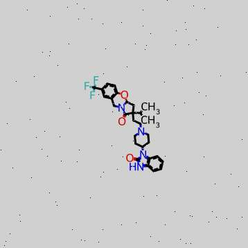 CC(C)C1(CCN2CCC(n3c(=O)[nH]c4ccccc43)CC2)CC2Oc3ccc(C(F)(F)F)cc3CN2C1=O